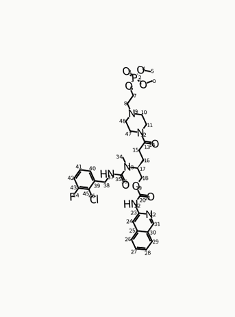 COP(=O)(OC)OCCN1CCN(C(=O)CC[C@@H](COC(=O)Nc2cc3ccccc3cn2)N(C)C(=O)NCc2cccc(F)c2Cl)CC1